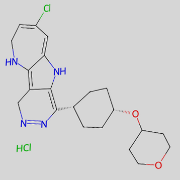 Cl.ClC1=CCNc2c3c([nH]c2=C1)=C([C@H]1CC[C@@H](OC2CCOCC2)CC1)N=NC3